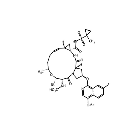 CC[C@@H]1O[C@H](C)CCC=C[C@@H]2C[C@@]2(C(=O)NS(=O)(=O)C2(C)CC2)NC(=O)[C@@H]2C[C@@H](Oc3ncc(OC)c4ccc(F)cc34)CN2C(=O)[C@H]1NC(=O)O